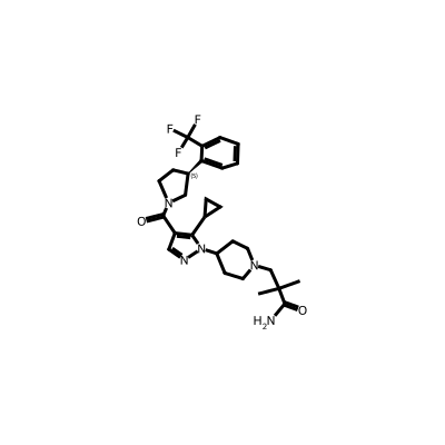 CC(C)(CN1CCC(n2ncc(C(=O)N3CC[C@@H](c4ccccc4C(F)(F)F)C3)c2C2CC2)CC1)C(N)=O